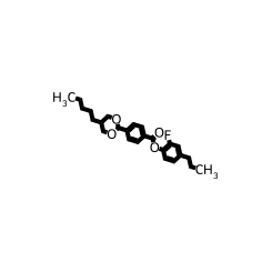 CCCCCC1COC(c2ccc(C(=O)Oc3ccc(CCC)cc3F)cc2)OC1